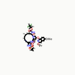 COc1ccc2c(O[C@@H]3C[C@H]4C(=O)N[C@]5(C(=O)NS(=O)(=O)C6(C)CC6)CC5/C=C\CC[C@H](C)C[C@@H](C)[C@H](NC(=O)OC(C)(C)C(C)(F)F)C(=O)N4C3)nc(OC(C)C)cc2c1